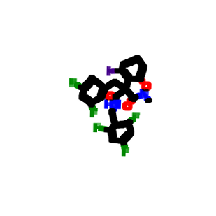 CN1Oc2cccc(I)c2C(Cc2cc(F)cc(F)c2)(C(=O)NCc2c(F)cc(F)cc2F)C1=O